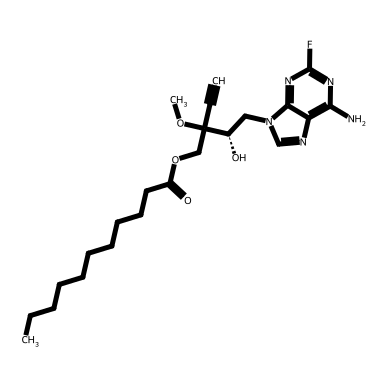 C#CC(COC(=O)CCCCCCCCCC)(OC)[C@@H](O)Cn1cnc2c(N)nc(F)nc21